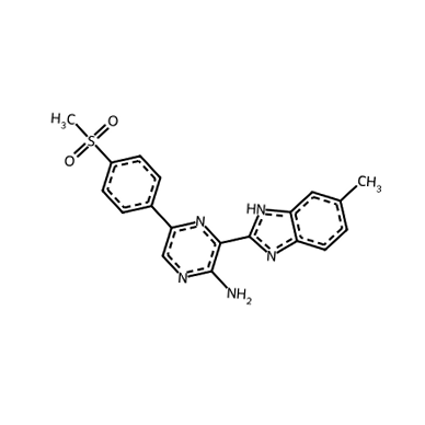 Cc1ccc2nc(-c3nc(-c4ccc(S(C)(=O)=O)cc4)cnc3N)[nH]c2c1